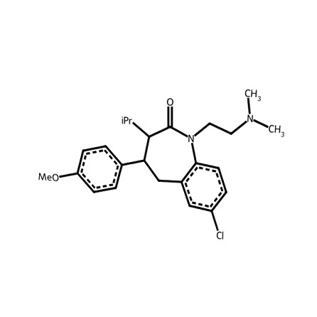 COc1ccc(C2Cc3cc(Cl)ccc3N(CCN(C)C)C(=O)C2C(C)C)cc1